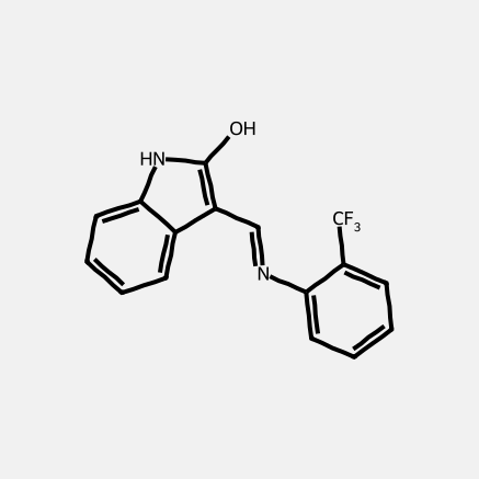 Oc1[nH]c2ccccc2c1C=Nc1ccccc1C(F)(F)F